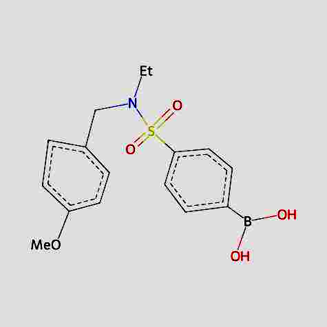 CCN(Cc1ccc(OC)cc1)S(=O)(=O)c1ccc(B(O)O)cc1